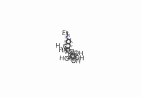 CC/C=C/c1ccc(Cc2c(O[C@@H]3O[C@H](CO)[C@@H](O)[C@H](O)[C@H]3O)n[nH]c2C)cc1